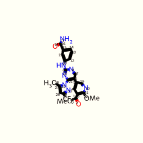 COC(=O)c1cc(-c2cnc(Nc3cccc(C(N)=O)c3)nc2-n2nc(C(F)(F)F)cc2C)cnc1OC